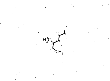 CC[C@@H](C)CCCI